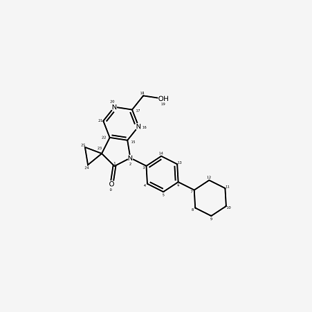 O=C1N(c2ccc(C3CCCCC3)cc2)c2nc(CO)ncc2C12CC2